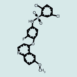 COc1ccc2nccc(Oc3ccc(NS(=O)(=O)c4cc(Cl)ccc4Cl)cc3F)c2c1